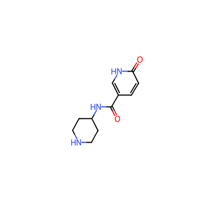 O=C(NC1CCNCC1)c1ccc(=O)[nH]c1